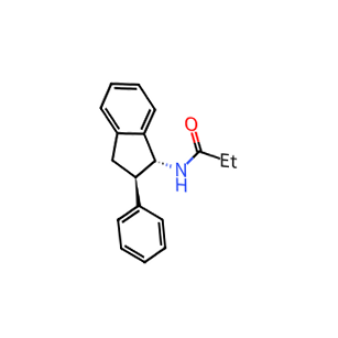 CCC(=O)N[C@H]1c2ccccc2C[C@@H]1c1ccccc1